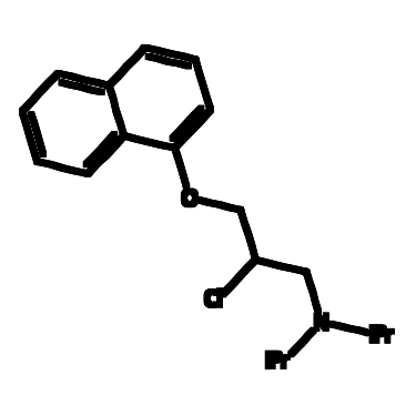 CC(C)N(CC(Cl)COc1cccc2ccccc12)C(C)C